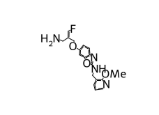 COc1ncccc1CNc1nc2ccc(OC/C(=C\F)CN)cc2o1